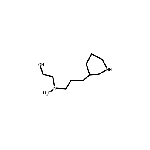 CN(CCO)CCCC1CCCNC1